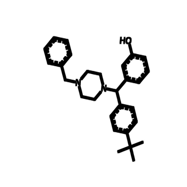 CC(C)(C)c1ccc(C(c2cccc(O)c2)N2CCN(Cc3ccccc3)CC2)cc1